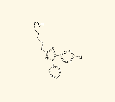 O=C(O)CCCCCc1nc(-c2ccccc2)c(-c2ccc(Cl)cc2)s1